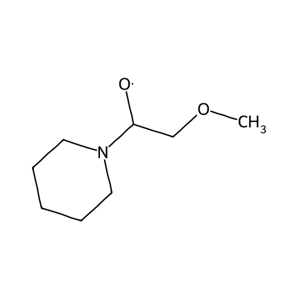 COCC([O])N1CCCCC1